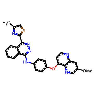 COc1cnc2c(Oc3ccc(Nc4nnc(-c5nc(C)cs5)c5ccccc45)cc3)ccnc2c1